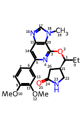 CCC(Oc1nc(-c2ccc(OC)c(OC)c2)cc2ncn(C)c12)[C@H]1CNC(=O)C1